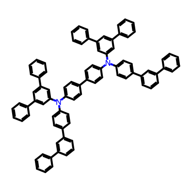 c1ccc(-c2cccc(-c3ccc(N(c4ccc(-c5ccc(N(c6ccc(-c7cccc(-c8ccccc8)c7)cc6)c6cc(-c7ccccc7)cc(-c7ccccc7)c6)cc5)cc4)c4cc(-c5ccccc5)cc(-c5ccccc5)c4)cc3)c2)cc1